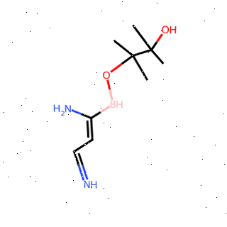 CC(C)(O)C(C)(C)OB/C(N)=C/C=N